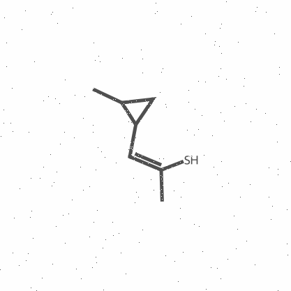 C/C(S)=C/C1CC1C